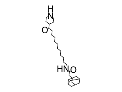 O=C(CC12CC3CC(CC(C3)C1)C2)NCCCCCCCCCCCC(=O)C1CCNCC1